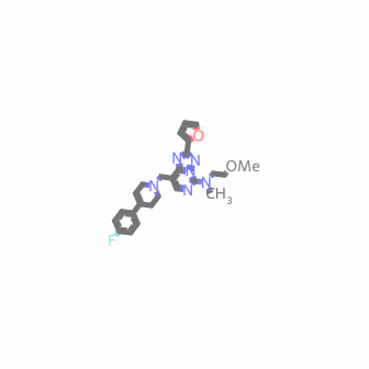 COCCN(C)c1ncc(CN2CC=C(c3ccc(F)cc3)CC2)c2nc(-c3ccco3)nn12